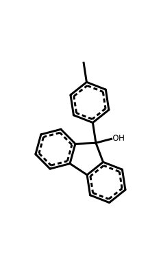 Cc1ccc(C2(O)c3ccccc3-c3ccccc32)cc1